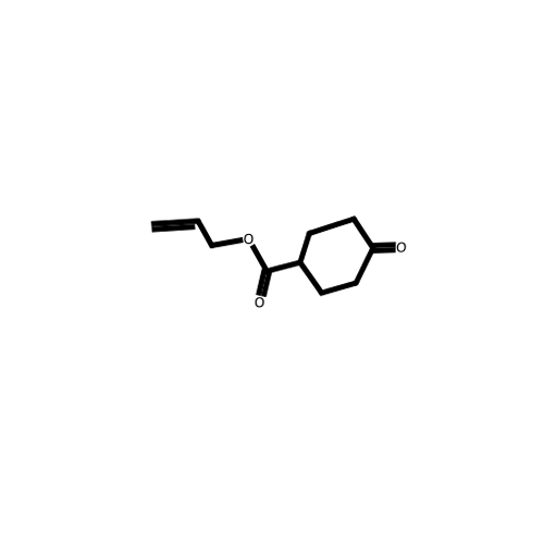 C=CCOC(=O)C1CCC(=O)CC1